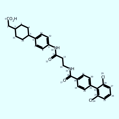 O=C(O)CC1CCC(c2ccc(NC(=O)CCNC(=O)c3ccc(-c4c(Cl)cccc4Cl)cc3)cc2)CC1